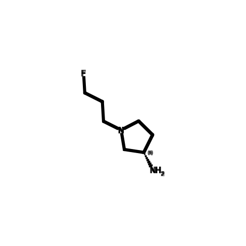 N[C@H]1CCN(CCCF)C1